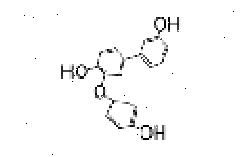 Oc1ccc(Oc2cc(-c3cccc(O)c3)ccc2O)cc1